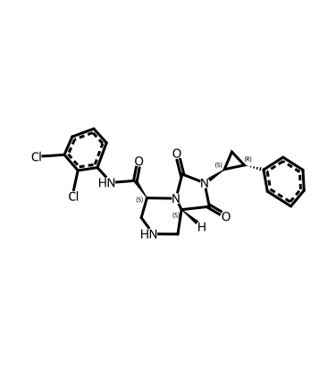 O=C(Nc1cccc(Cl)c1Cl)[C@@H]1CNC[C@H]2C(=O)N([C@H]3C[C@@H]3c3ccccc3)C(=O)N12